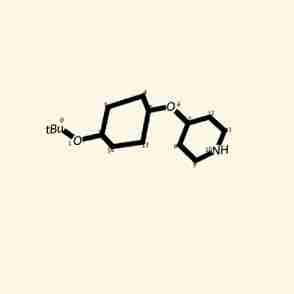 CC(C)(C)OC1CCC(OC2CCNCC2)CC1